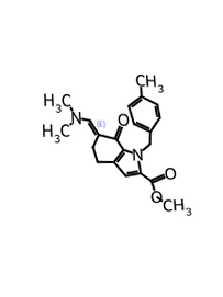 COC(=O)c1cc2c(n1Cc1ccc(C)cc1)C(=O)/C(=C/N(C)C)CC2